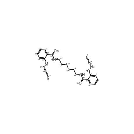 [N-]=[N+]=NOc1ccccc1C(=O)NCCSSCCNC(=O)c1ccccc1ON=[N+]=[N-]